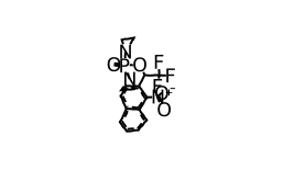 O=[N+]([O-])c1c(C(OP(=O)(N2CC2)N2CC2)C(F)(F)F)ccc2ccccc12